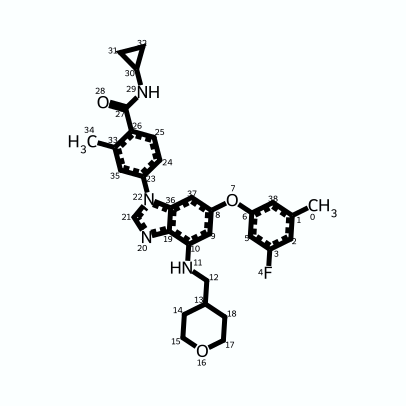 Cc1cc(F)cc(Oc2cc(NCC3CCOCC3)c3ncn(-c4ccc(C(=O)NC5CC5)c(C)c4)c3c2)c1